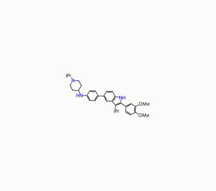 COc1ccc(-c2[nH]c3ccc(-c4ccc(NC5CCN(C(C)C)CC5)cc4)cc3c2C(C)C)cc1OC